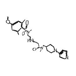 COc1cc(C)c(S(=O)(=O)N(C)CCNCC(=O)N(C)CC2CCN(c3ccncc3)CC2)c(C)c1